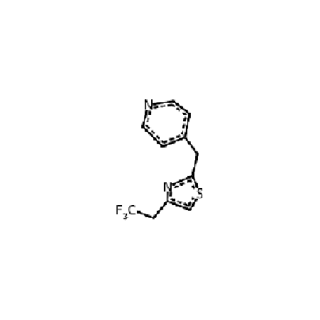 FC(F)(F)Cc1csc(Cc2ccncc2)n1